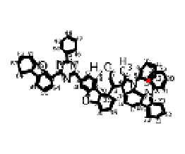 C=C/C=C(\c1c(C)n(-c2ccccc2)c2c1ccc1c3ccccc3n(-c3ccccc3)c12)c1cccc2oc3cc(-c4nc(-c5ccccc5)nc(-c5cccc6c5oc5ccccc56)n4)ccc3c12